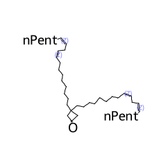 CCCCC/C=C\C/C=C\CCCCCCCCC1(CCCCCCCC/C=C\C/C=C\CCCCC)CC(=O)C1